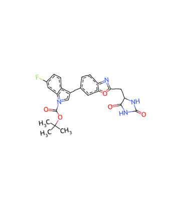 CC(C)(C)OC(=O)n1cc(-c2ccc3nc(CC4NC(=O)NC4=O)oc3c2)c2ccc(F)cc21